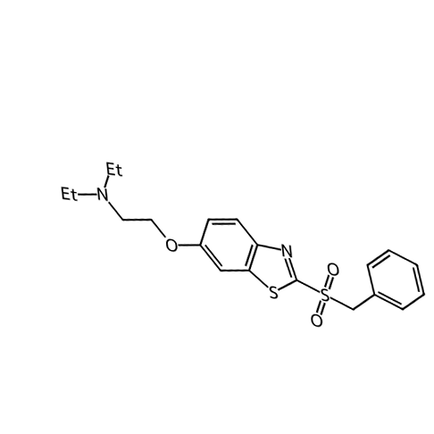 CCN(CC)CCOc1ccc2nc(S(=O)(=O)Cc3ccccc3)sc2c1